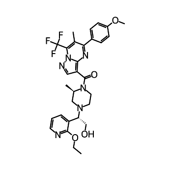 CCOc1ncccc1[C@@H](CO)N1CCN(C(=O)c2cnn3c(C(F)(F)F)c(C)c(-c4ccc(OC)cc4)nc23)[C@H](C)C1